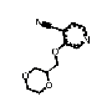 N#Cc1ccncc1OC[C@@H]1COCCO1